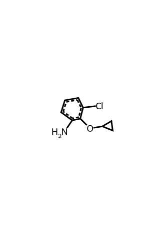 Nc1cccc(Cl)c1OC1CC1